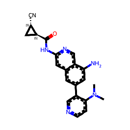 CN(C)c1ccncc1-c1cc(N)c2cnc(NC(=O)[C@H]3C[C@@H]3C#N)cc2c1